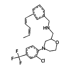 C/C=C\C=C/c1cccc(CNCC2CN(c3ccc(C(F)(F)F)cc3Cl)CCO2)c1